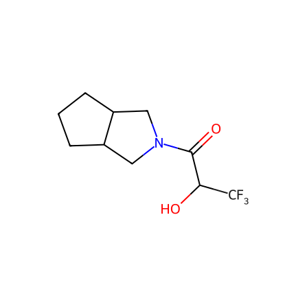 O=C(C(O)C(F)(F)F)N1CC2CCCC2C1